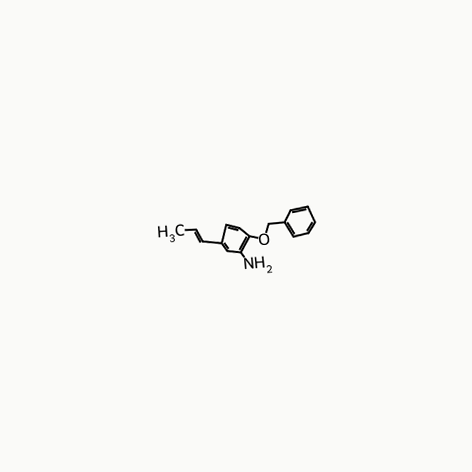 CC=Cc1ccc(OCc2ccccc2)c(N)c1